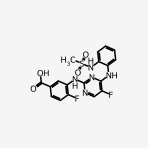 CS(=O)(=O)Nc1ccccc1Nc1nc(Nc2cc(C(=O)O)ccc2F)ncc1F